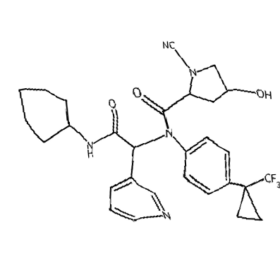 N#CN1CC(O)CC1C(=O)N(c1ccc(C2(C(F)(F)F)CC2)cc1)C(C(=O)NC1CCCCC1)c1cccnc1